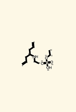 C=CCC(CC=C)NCC.CCOS(=O)(=O)O